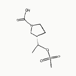 CC(OS(C)(=O)=O)[C@H]1CCN(C(=O)O)C1